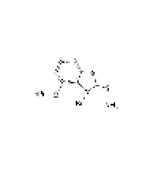 CCCOc1cccc2c1N(C(C)(C)C)C(SN)S2